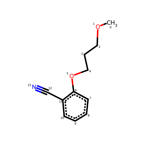 COCCCOc1ccccc1C#N